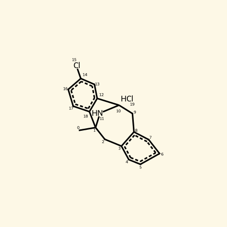 CC12Cc3ccccc3CC(N1)c1cc(Cl)ccc12.Cl